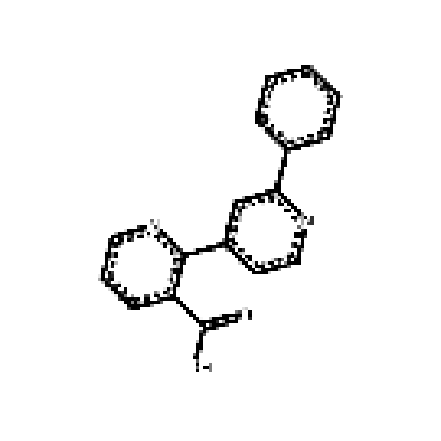 O=C(O)c1cccnc1-c1ccnc(-c2ccccc2)c1